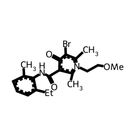 CCc1cccc(C)c1NC(=O)c1c(C)n(CCOC)c(C)c(Br)c1=O